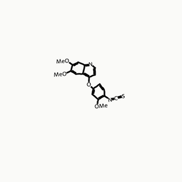 COc1cc(Oc2ccnc3cc(OC)c(OC)cc23)ccc1N=C=S